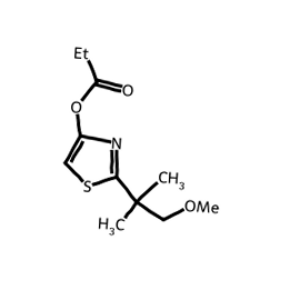 CCC(=O)Oc1csc(C(C)(C)COC)n1